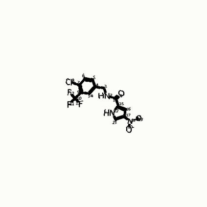 O=C(NCc1ccc(Cl)c(C(F)(F)F)c1)c1cc([N+](=O)[O-])c[nH]1